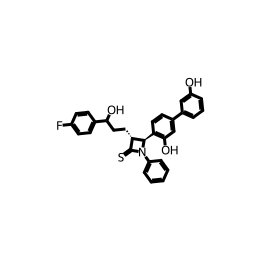 Oc1cccc(-c2ccc([C@@H]3[C@@H](CCC(O)c4ccc(F)cc4)C(=S)N3c3ccccc3)c(O)c2)c1